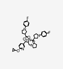 O=C(NC(CN1CCCC1)[C@H](OC(=O)C1CCN(c2ccc(F)cc2)C1)c1ccc(OC2CC2)nc1)C1CCN(c2ccc(F)cc2)C1